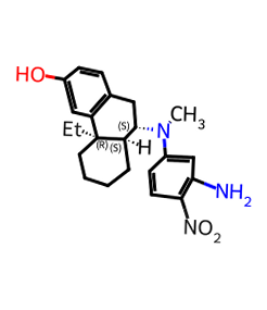 CC[C@@]12CCCC[C@@H]1[C@@H](N(C)c1ccc([N+](=O)[O-])c(N)c1)Cc1ccc(O)cc12